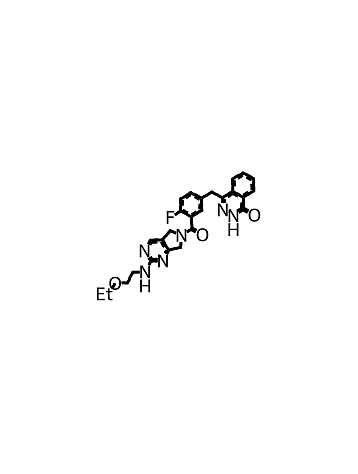 CCOCCNc1ncc2c(n1)CN(C(=O)c1cc(Cc3n[nH]c(=O)c4ccccc34)ccc1F)C2